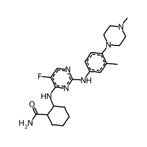 Cc1cc(Nc2ncc(F)c(NC3CCCCC3C(N)=O)n2)ccc1N1CCN(C)CC1